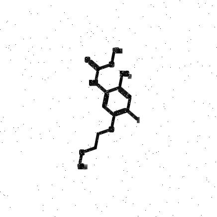 CC(C)(C)OCCOc1cc(NC(=O)OC(C)(C)C)c([N+](=O)[O-])cc1I